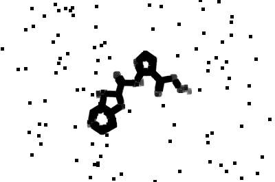 COC(=O)c1ccsc1NC(=O)C1Nc2cnccc2S1